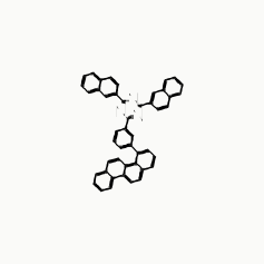 c1cc(-c2nc(-c3ccc4ccccc4c3)nc(-c3ccc4ccccc4c3)n2)cc(-c2cccc3ccc4c5ccccc5ccc4c23)c1